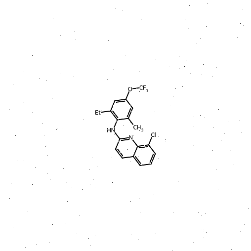 CCc1cc(OC(F)(F)F)cc(C)c1Nc1ccc2cccc(Cl)c2n1